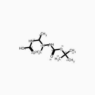 CC(NC(=O)O)N(C)NC(=O)OC(C)(C)C